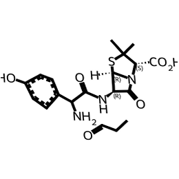 CC1(C)S[C@@H]2[C@H](NC(=O)C(N)c3ccc(O)cc3)C(=O)N2[C@H]1C(=O)O.CCC=O